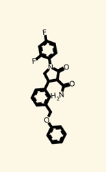 NC(=O)C1C(=O)N(c2ccc(F)cc2F)CC1c1cccc(COc2ccccc2)c1